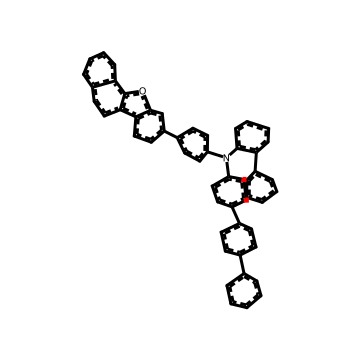 c1ccc(-c2ccc(-c3ccc(N(c4ccc(-c5ccc6c(c5)oc5c7ccccc7ccc65)cc4)c4ccccc4-c4ccccc4)cc3)cc2)cc1